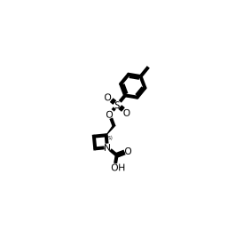 Cc1ccc(S(=O)(=O)OC[C@@H]2CCN2C(=O)O)cc1